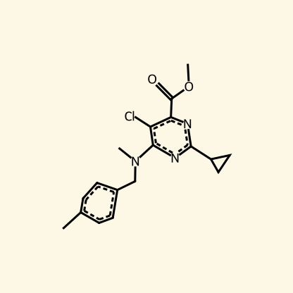 COC(=O)c1nc(C2CC2)nc(N(C)Cc2ccc(C)cc2)c1Cl